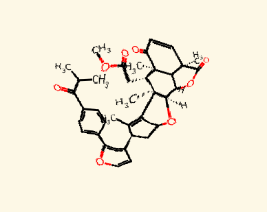 COC(=O)C[C@H]1[C@]2(C)C3=C(C)[C@H](c4ccoc4-c4ccc(C(=O)C(C)C)cc4)CC3O[C@@H]2[C@@H]2OC(=O)[C@]3(C)C=CC(=O)[C@@]1(C)C23